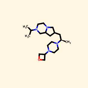 CC(C)N1CCN2CC(C[C@@H](C)N3CCN(C4COC4)CC3)CC2C1